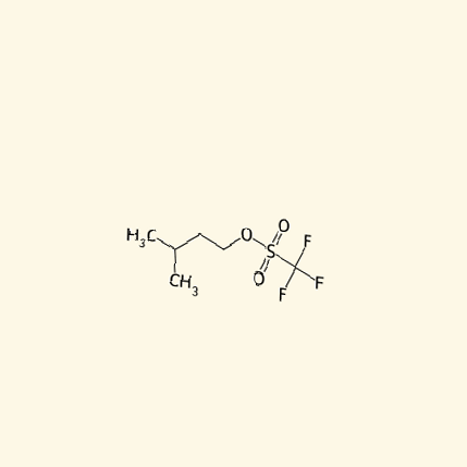 CC(C)CCOS(=O)(=O)C(F)(F)F